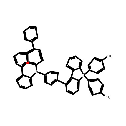 Cc1ccc([Si]2(c3ccc(C)cc3)c3ccccc3-c3c(-c4ccc(N(c5ccc(-c6ccccc6)cc5)c5ccccc5-c5ccccc5)cc4)cccc32)cc1